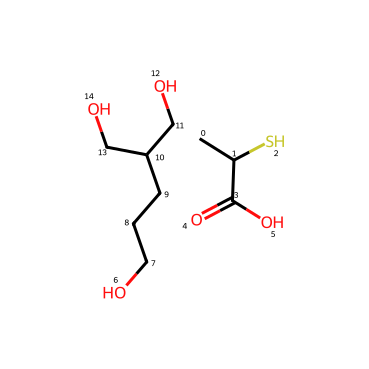 CC(S)C(=O)O.OCCCC(CO)CO